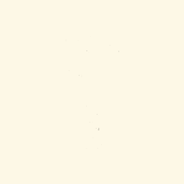 Cc1ccccc1NC(=O)Nc1ccc(CNC(=O)C2=CC(C(C)C)N(C(=O)CC(=O)O)C2)cc1